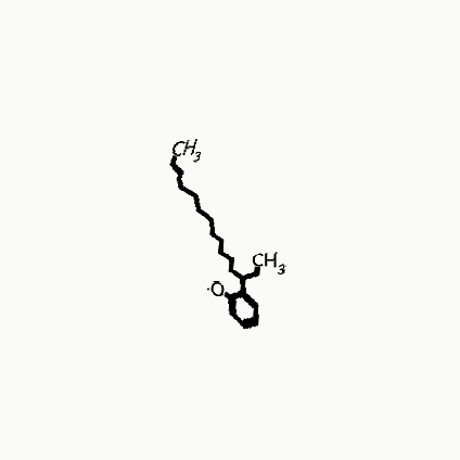 CCCCCCCCCCCCC(CC)c1ccccc1[O]